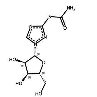 NC(=O)Sc1ncn([C@@H]2O[C@H](CO)[C@@H](O)[C@H]2O)n1